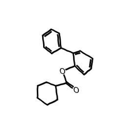 O=C(Oc1ccccc1-c1ccccc1)C1CCCCC1